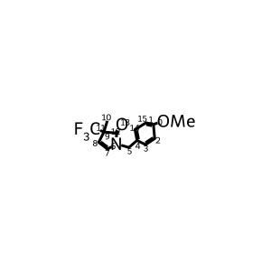 COc1ccc(CN2C=CC(C)(C(F)(F)F)C2=O)cc1